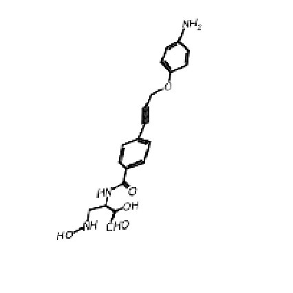 Nc1ccc(OCC#Cc2ccc(C(=O)NC(CNO)C(O)C=O)cc2)cc1